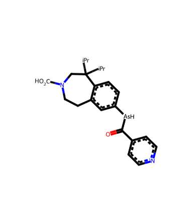 CC(C)C1(C(C)C)CN(C(=O)O)CCc2cc([AsH]C(=O)c3ccncc3)ccc21